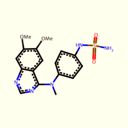 COc1cc2ncnc(N(C)c3ccc(NS(N)(=O)=O)cc3)c2cc1OC